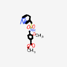 COC(=O)c1ccc(CNS(=O)(=O)Cc2cccnc2)c(OC)c1